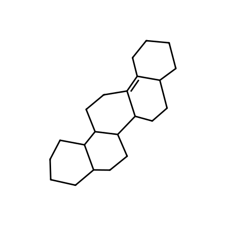 C1CCC2CCC3C(=C2C1)CCC1C2CCCCC2CCC31